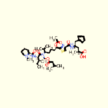 CC[C@H](C)[C@H](NC(=O)[C@H]1CCCCN1C)C(=O)N(COC(=O)CC(C)C)C(CCC[C@@H](OC(C)=O)c1nc(C(=O)N[C@@H](Cc2ccccc2)C[C@H](C)C(=O)O)cs1)C(C)C